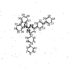 c1ccc(-c2ccc(-c3cc(-c4ccc(-c5ccccc5)cc4)nc(-n4c5ccccc5c5ccccc54)n3)cc2)cc1